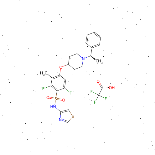 Cc1c(OC2CCN([C@H](C)c3ccccc3)CC2)cc(F)c(S(=O)(=O)Nc2cscn2)c1F.O=C(O)C(F)(F)F